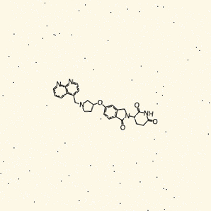 O=C1CCC(N2Cc3cc(OC4CCN(Cc5ccnc6ncccc56)C4)ccc3C2=O)C(=O)N1